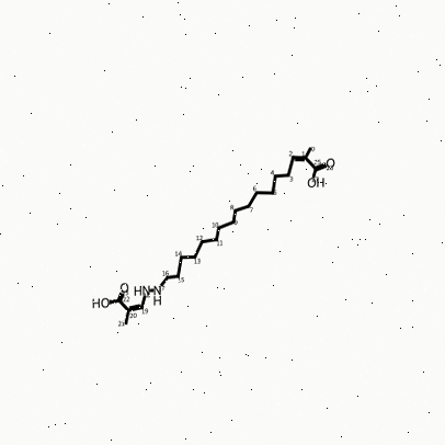 CC(=CCCCCCCCCCCCCCCNNC=C(C)C(=O)O)C(=O)O